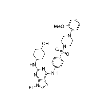 CCn1cnc2c(Nc3ccc(S(=O)(=O)N4CCN(c5ccccc5OC)CC4)cc3)nc(NC3CCC(O)CC3)nc21